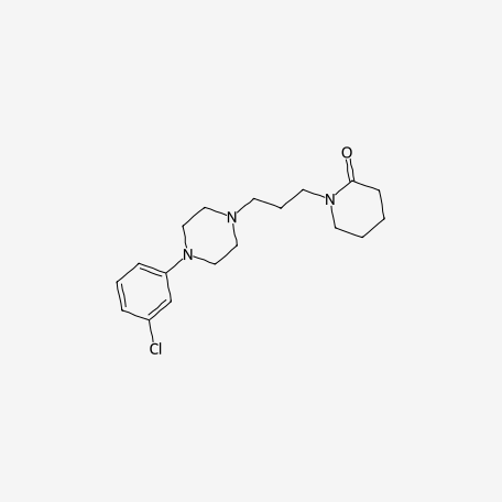 O=C1CCCCN1CCCN1CCN(c2cccc(Cl)c2)CC1